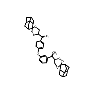 C=C(c1ccc(Oc2cccc(C(=C)C3COC4(OO3)C3CC5CC(C3)CC4C5)c2)cc1)C1COC2(OO1)C1CC3CC(C1)CC2C3